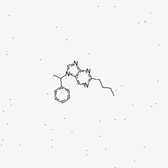 CCCCc1n[c]c2c(ncn2C(C)c2ccccc2)n1